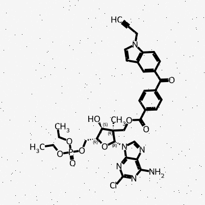 C#CCn1ccc2cc(C(=O)c3ccc(C(=O)OC[C@]4(C)[C@H](O)[C@@H](COP(=O)(OCC)OCC)O[C@H]4n4cnc5c(N)nc(Cl)nc54)cc3)ccc21